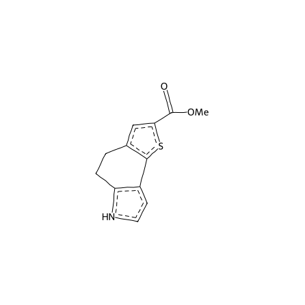 COC(=O)c1cc2c(s1)-c1cc[nH]c1CC2